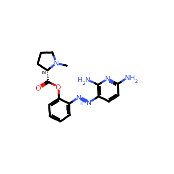 CN1CCC[C@H]1C(=O)Oc1ccccc1/N=N/c1ccc(N)nc1N